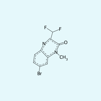 Cn1c(=O)c(C(F)F)nc2ccc(Br)cc21